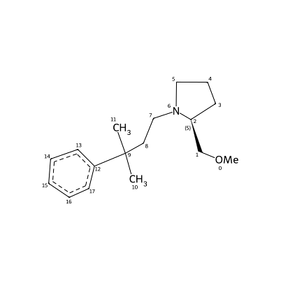 COC[C@@H]1CCCN1CCC(C)(C)c1ccccc1